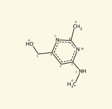 CNc1cc(CO)nc(C)n1